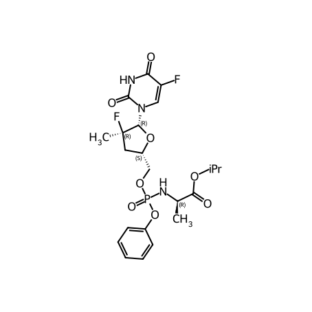 CC(C)OC(=O)[C@@H](C)NP(=O)(OC[C@@H]1C[C@@](C)(F)[C@H](n2cc(F)c(=O)[nH]c2=O)O1)Oc1ccccc1